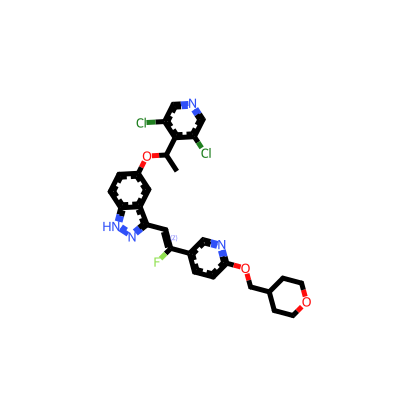 CC(Oc1ccc2[nH]nc(/C=C(\F)c3ccc(OCC4CCOCC4)nc3)c2c1)c1c(Cl)cncc1Cl